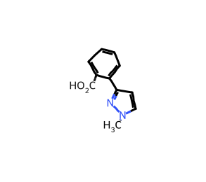 Cn1ccc(-c2ccccc2C(=O)O)n1